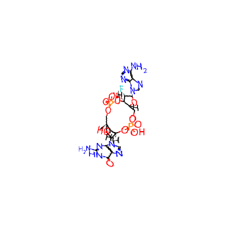 C[C@]12COP(=O)(O)O[C@H]3[C@@H](F)[C@H](n4cnc5c(N)ncnc54)O[C@@H]3COP(=O)(O)O[C@@H]([C@H](n3cnc4c(=O)[nH]c(N)nc43)C1)[C@@H]2O